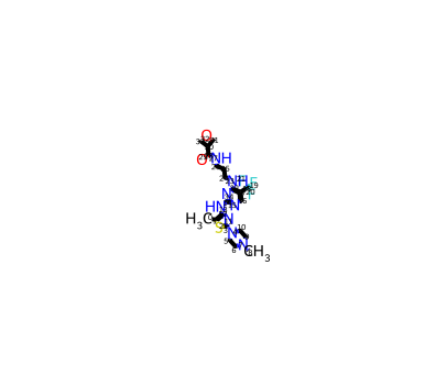 Cc1sc(N2CCN(C)CC2)nc1Nc1ncc(C(F)(F)F)c(NCCCNC(=O)C2COC2)n1